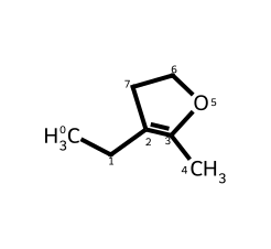 CCC1=C(C)OCC1